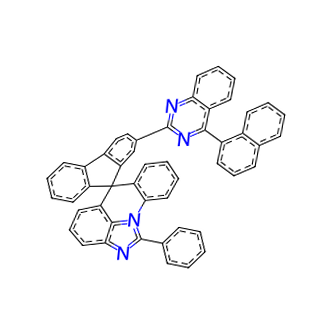 c1ccc(-c2nc3cccc4c3n2-c2ccccc2C42c3ccccc3-c3ccc(-c4nc(-c5cccc6ccccc56)c5ccccc5n4)cc32)cc1